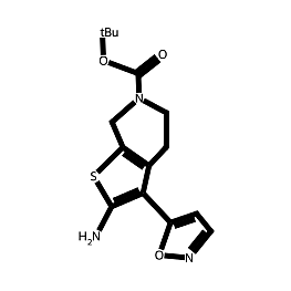 CC(C)(C)OC(=O)N1CCc2c(sc(N)c2-c2ccno2)C1